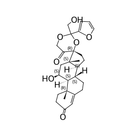 C[C@]12CCC(=O)C=C1CC[C@@H]1[C@@H]2[C@@H](O)C[C@@]2(C)[C@H]1CC[C@@]21OC(CO)(c2ccco2)OCC1=O